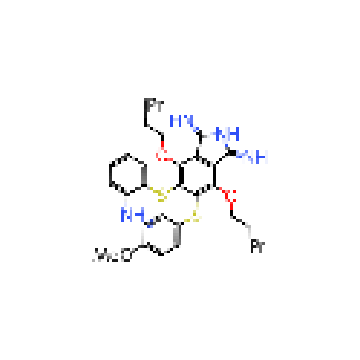 COc1ccc(Sc2c(OCCC(C)C)c3c(c(OCCC(C)C)c2Sc2ccccc2N)C(=N)NC3=N)cc1